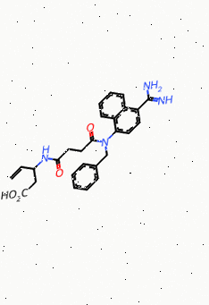 C=CC(CC(=O)O)NC(=O)CCC(=O)N(Cc1ccccc1)c1ccc(C(=N)N)c2ccccc12